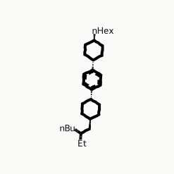 CCCCCC[C@H]1CC[C@H](c2ccc([C@H]3CC[C@H](CC(CC)CCCC)CC3)cc2)CC1